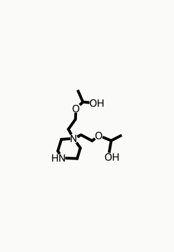 CC(O)OCC[N+]1(CCOC(C)O)CCNCC1